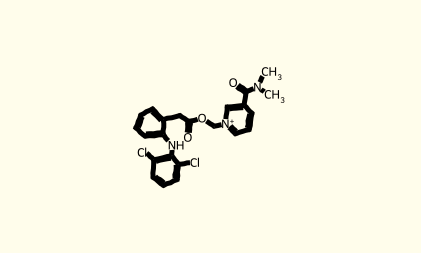 CN(C)C(=O)c1ccc[n+](COC(=O)Cc2ccccc2Nc2c(Cl)cccc2Cl)c1